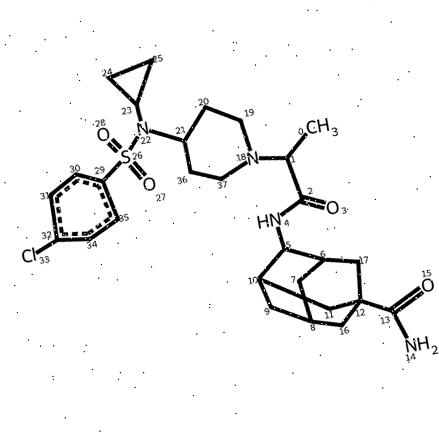 CC(C(=O)NC1C2CC3CC1CC(C(N)=O)(C3)C2)N1CCC(N(C2CC2)S(=O)(=O)c2ccc(Cl)cc2)CC1